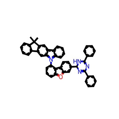 CC1(C)c2ccccc2-c2cc3c(cc21)c1ccccc1n3-c1cccc2oc3cc(C4N=C(c5ccccc5)N=C(c5ccccc5)N4)ccc3c12